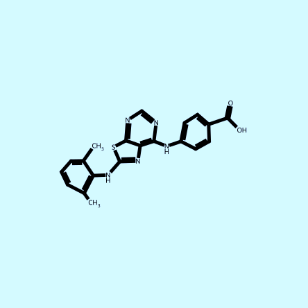 Cc1cccc(C)c1Nc1nc2c(Nc3ccc(C(=O)O)cc3)ncnc2s1